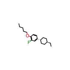 CCCCCOc1ccc([C@H]2CC[C@H](CC)CC2)cc1F